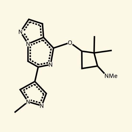 CNC1CC(Oc2nc(-c3cnn(C)c3)cn3nccc23)C1(C)C